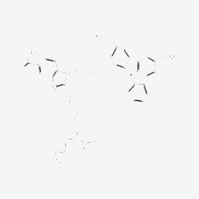 COC(=O)c1ccc2c(c1)nc(CCCCOP(OCCC#N)N(C(C)C)C(C)C)n2CCCCCOC(c1ccccc1)(c1ccc(OC)cc1)c1ccc(OC)cc1